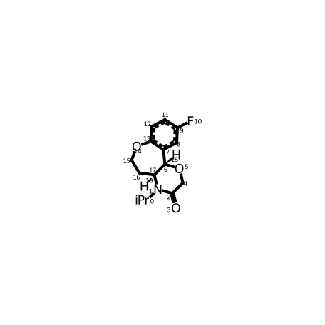 CC(C)N1C(=O)CO[C@H]2c3cc(F)ccc3OCC[C@@H]21